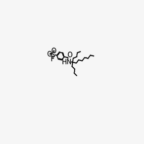 CCCCCCCC(CCCC)(CCCC)NC(=O)c1ccc(S(=O)(=O)F)cc1